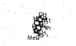 CCO[C@H]1C[C@@]2(C)[C@@H](CC[C@@H]3[C@@H]2[C@H](NC(C)C)C[C@]2(C)[C@@H](C(=O)OC)CC[C@@H]32)C[C@@H]1O